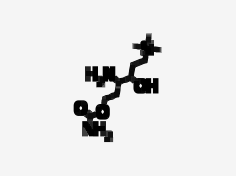 C[Si](C)(C)CCC(O)C(N)CCOC(N)=O